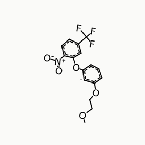 COCCOc1[c]c(Oc2cc(C(F)(F)F)ccc2[N+](=O)[O-])ccc1